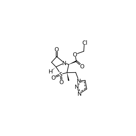 C[C@]1(Cn2ccnn2)[C@H](C(=O)OCCl)N2C(=O)C[C@@H]2S1(=O)=O